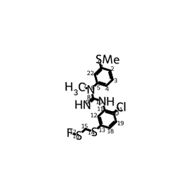 CSc1cccc(N(C)C(=N)Nc2cc(SCSF)ccc2Cl)c1